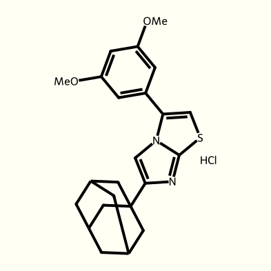 COc1cc(OC)cc(-c2csc3nc(C45CC6CC(CC(C6)C4)C5)cn23)c1.Cl